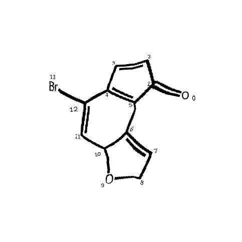 O=C1C=CC2=C1C1=CCOC1C=C2Br